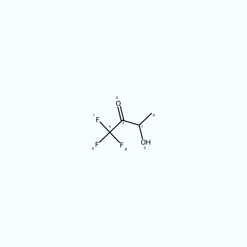 CC(O)C(=O)C(F)(F)F